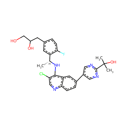 C[C@@H](Nc1c(Cl)cnc2ccc(-c3cnc(C(C)(C)O)nc3)cc12)c1cc(CC(O)CO)ccc1F